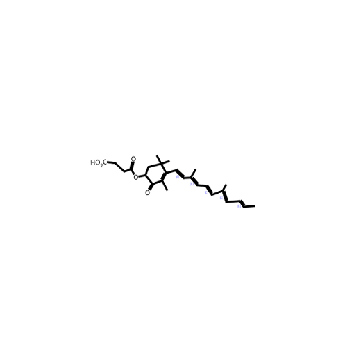 C/C=C/C=C(C)/C=C/C=C(C)/C=C/C1=C(C)C(=O)C(OC(=O)CCC(=O)O)CC1(C)C